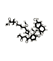 C=NC(=O)C(C)(C)OC/C=C/[C@@H](OC)[C@@H]1CC[C@H]1CN1C[C@@]2(CCCc3cc(Cl)ccc32)COc2ccc(C(=O)CC(=O)CC)cc21